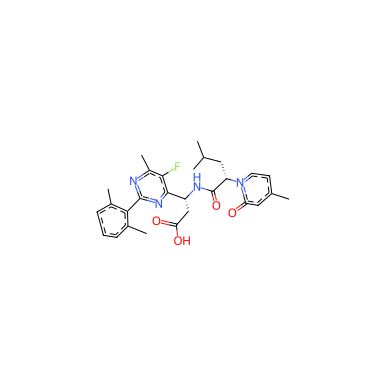 Cc1ccn([C@@H](CC(C)C)C(=O)N[C@H](CC(=O)O)c2nc(-c3c(C)cccc3C)nc(C)c2F)c(=O)c1